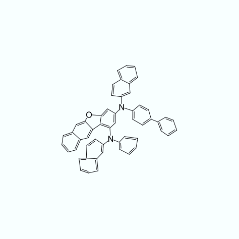 c1ccc(-c2ccc(N(c3ccc4ccccc4c3)c3cc(N(c4ccccc4)c4ccc5ccccc5c4)c4c(c3)oc3cc5ccccc5cc34)cc2)cc1